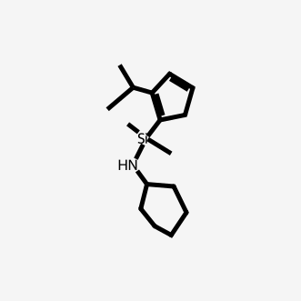 CC(C)C1=C([Si](C)(C)NC2CCCCC2)CC=C1